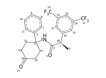 C[C@@H](C(=O)NC1(c2ccccc2)CCC(=O)CC1)c1cc(C(F)(F)F)cc(C(F)(F)F)c1